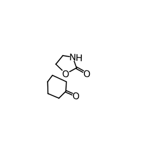 O=C1CCCCC1.O=C1NCCO1